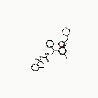 Cc1ccccc1S(=O)(=O)NC(=O)NCC(c1cc(F)cc(F)c1)c1ncccc1-c1ccc(CN2CCOCC2)s1